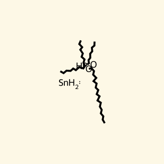 CCCCCCCCCCCCCCCCCC(=O)O[PH](CCCCCCCC)(CCCCCCCC)CCCCCCCC.[SnH2]